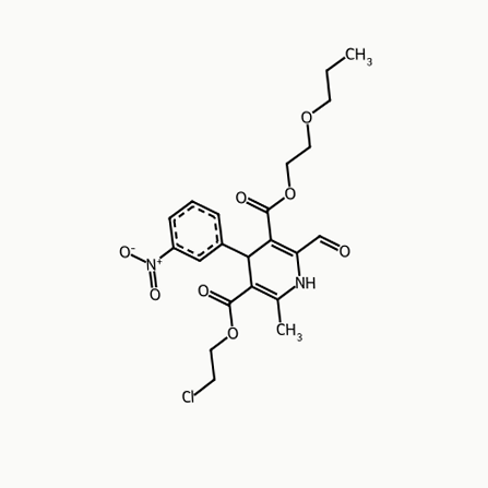 CCCOCCOC(=O)C1=C(C=O)NC(C)=C(C(=O)OCCCl)C1c1cccc([N+](=O)[O-])c1